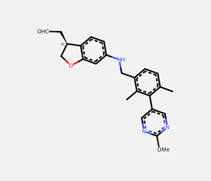 COc1ncc(-c2c(C)ccc(CNc3ccc4c(c3)OC[C@H]4CC=O)c2C)cn1